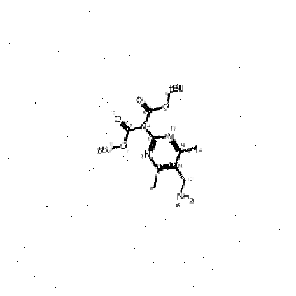 Cc1nc(N(C(=O)OC(C)(C)C)C(=O)OC(C)(C)C)nc(C)c1CN